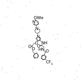 COc1ccc(N2CCC(n3cc(NC(=O)CNC(=O)c4cccc(C(F)(F)F)c4)c(OCC(=O)OCc4ccccc4)c3)CC2)cn1